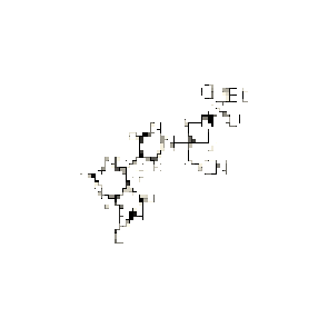 CCS(=O)(=O)N1CC(CC#N)(n2cc(-c3ncnc4c3cnn4C)cn2)C1